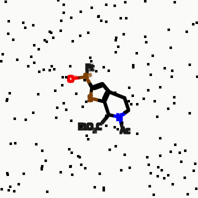 CCOC(=O)C1c2sc([S+]([O-])CC)cc2CCN1C(C)=O